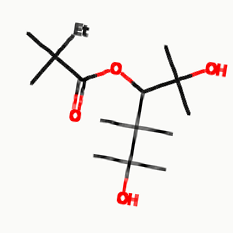 CCC(C)(C)C(=O)OC(C(C)(C)O)C(C)(C)C(C)(C)O